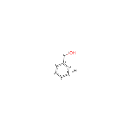 OCc1ccccc1.[H]